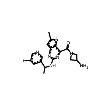 Cc1cc2nc(NC(C)c3cncc(F)c3)nc(C(=O)N3CC(N)C3)c2s1